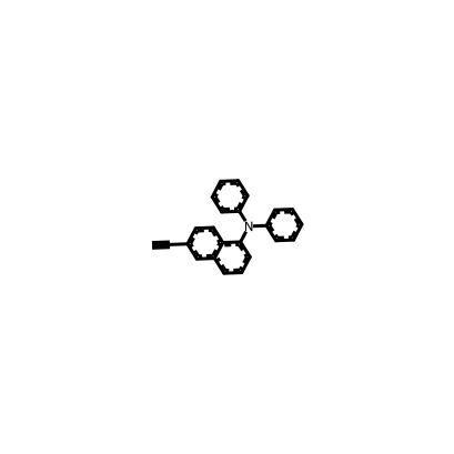 C#Cc1ccc2c(N(c3ccccc3)c3ccccc3)cccc2c1